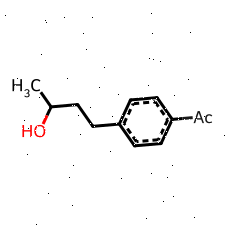 CC(=O)c1ccc(CCC(C)O)cc1